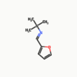 C[Si](C)(C)/N=C/c1ccco1